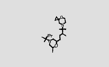 CC1CN(C(C)(C)C(C)C)CC(CCC(C)C(C)(C)N2CCOC3(CC3)C2)O1